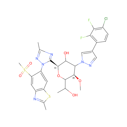 CO[C@H]1C(C(C)O)O[C@@H](c2nc(C)nn2-c2cc3sc(C)nc3cc2S(C)(=O)=O)C(O)C1n1cc(-c2ccc(Cl)c(F)c2F)cn1